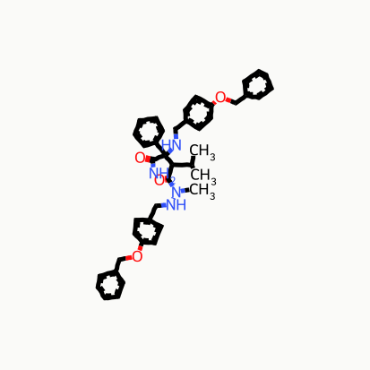 CC(C)C(C(=O)N(C)NCc1ccc(OCc2ccccc2)cc1)C(NCc1ccc(OCc2ccccc2)cc1)(C(N)=O)c1ccccc1